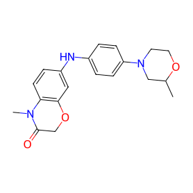 CC1CN(c2ccc(Nc3ccc4c(c3)OCC(=O)N4C)cc2)CCO1